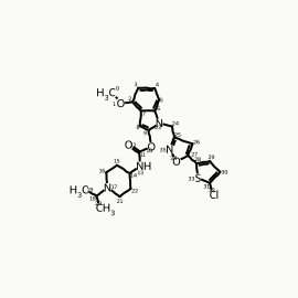 COc1cccc2c1cc(OC(=O)NC1CCN(C(C)C)CC1)n2Cc1cc(-c2ccc(Cl)s2)on1